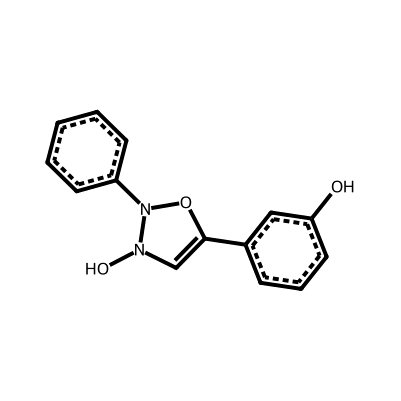 Oc1cccc(C2=CN(O)N(c3ccccc3)O2)c1